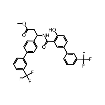 COC(=O)CC(NC(=O)c1cc(-c2cccc(C(F)(F)F)c2)ccc1O)c1ccc(-c2cccc(C(F)(F)F)c2)cc1